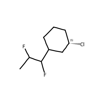 CC(F)C(F)C1CCC[C@H](Cl)C1